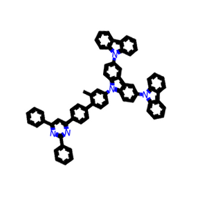 Cc1cc(-n2c3ccc(-n4c5ccccc5c5ccccc54)cc3c3cc(-n4c5ccccc5c5ccccc54)ccc32)ccc1-c1ccc(-c2cc(-c3ccccc3)nc(-c3ccccc3)n2)cc1